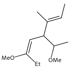 C/C=C(\C)C(/C=C(\CC)OC)C(C)OC